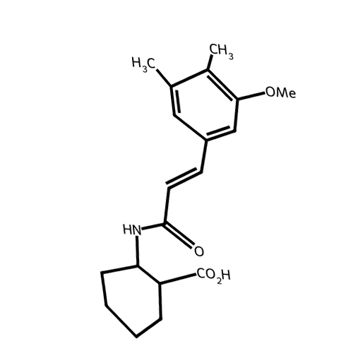 COc1cc(/C=C/C(=O)NC2CCCCC2C(=O)O)cc(C)c1C